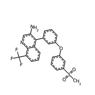 CS(=O)(=O)c1cccc(Oc2cccc(-c3c(N)cnc4c(C(F)(F)F)cccc34)c2)c1